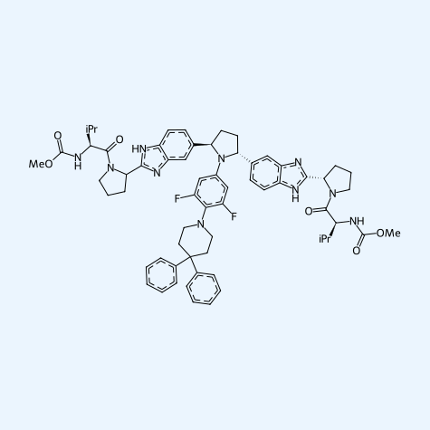 COC(=O)N[C@H](C(=O)N1CCCC1c1nc2cc([C@H]3CC[C@H](c4ccc5[nH]c([C@@H]6CCCN6C(=O)[C@@H](NC(=O)OC)C(C)C)nc5c4)N3c3cc(F)c(N4CCC(c5ccccc5)(c5ccccc5)CC4)c(F)c3)ccc2[nH]1)C(C)C